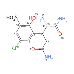 NC(=O)CC(c1cc(Cl)cc(S(=O)(=O)O)c1O)[C@H](N)C(N)=O